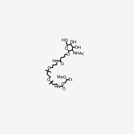 CCC(COC(=O)NCCC(C)(C)OCCC(C)(C)OCCCNC(=O)CCCOC1OC(CO)C(O)C(O)C1NC(C)=O)OC